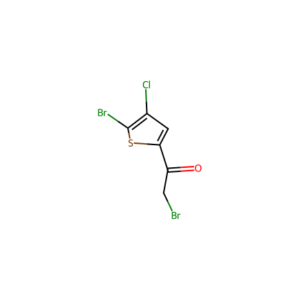 O=C(CBr)c1cc(Cl)c(Br)s1